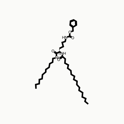 CCCCCCCCCCCCCCCCCC(=O)N[C@@H](CCCCNC(=O)OCc1ccccc1)C(=O)NCCCCCCCCCCCC